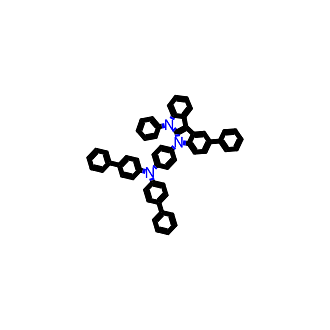 c1ccc(-c2ccc(N(c3ccc(-c4ccccc4)cc3)c3ccc(-n4c5ccc(-c6ccccc6)cc5c5c6ccccc6n(-c6ccccc6)c54)cc3)cc2)cc1